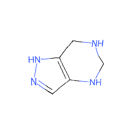 c1n[nH]c2c1NCNC2